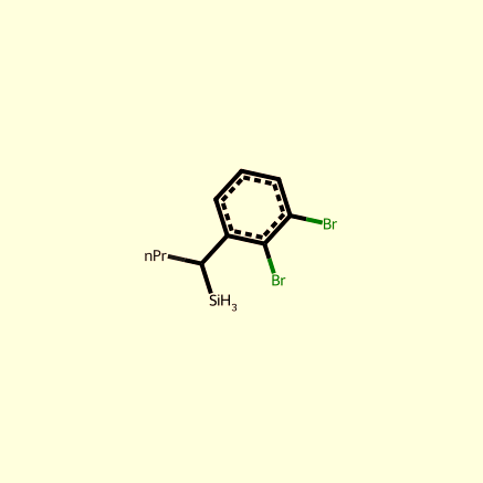 CCCC([SiH3])c1cccc(Br)c1Br